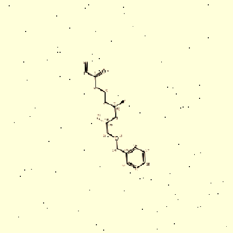 C=CC(=O)CCC[C@@H](C)C[C@@H](C)COCc1ccccc1